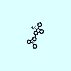 CC1c2ccc(-c3ccc4c(c3)c3ccccc3n4-c3ccccc3)cc2-c2ccccc2C1c1ccccc1